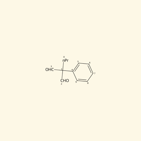 [CH2]CCC(C=O)(C=O)c1ccccc1